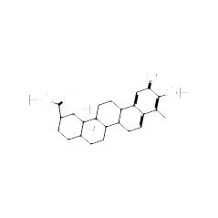 CC1=C(O)C(=O)C=C2C1=CCC1[C@@]2(C)CC[C@@]2(C)[C@@H]3C[C@](C)(C(=O)O)CC[C@]3(C)CC[C@]12C